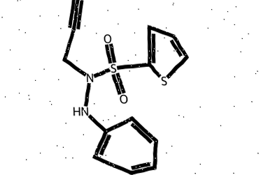 C#CCN(Nc1ccccc1)S(=O)(=O)c1cccs1